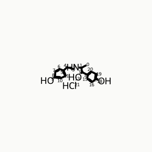 CC(NCCc1ccc(O)cc1)C(O)c1ccc(O)cc1.Cl